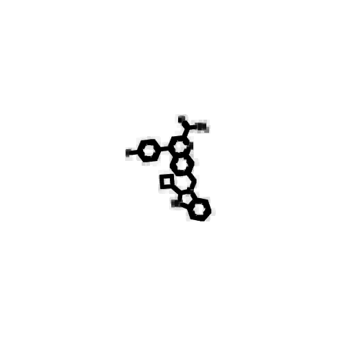 NC(=O)c1cc(-c2ccc(F)cc2)c2ccc(CN3c4ccccc4NC3C3CCC3)cc2n1